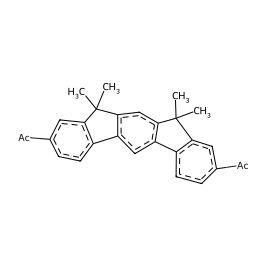 CC(=O)c1ccc2c(c1)C(C)(C)c1cc3c(cc1-2)-c1ccc(C(C)=O)cc1C3(C)C